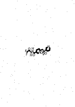 CS(=O)(=O)N(Cc1ccc(C(=O)NNC(=O)C(F)F)cn1)c1cccnc1